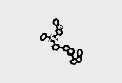 c1ccc(-c2nc(-c3cccc(-c4ccc5ccc(-c6cccc7ccc8ccccc8c67)cc5c4)c3)nc(-c3ccc4oc5ccccc5c4c3)n2)cc1